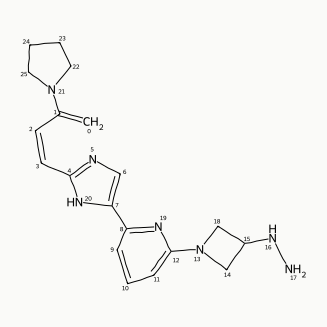 C=C(/C=C\c1ncc(-c2cccc(N3CC(NN)C3)n2)[nH]1)N1CCCC1